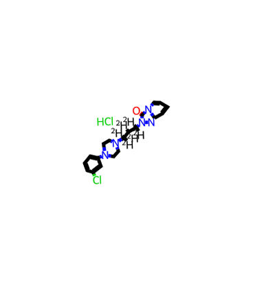 Cl.[2H]C([2H])(N1CCN(c2cccc(Cl)c2)CC1)C([2H])([2H])C([2H])([2H])n1nc2ccccn2c1=O